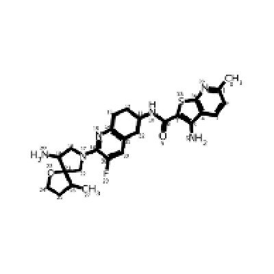 Cc1ccc2c(N)c(C(=O)NC3CCc4nc(N5CC(N)C6(C5)OCCC6C)c(F)cc4C3)sc2n1